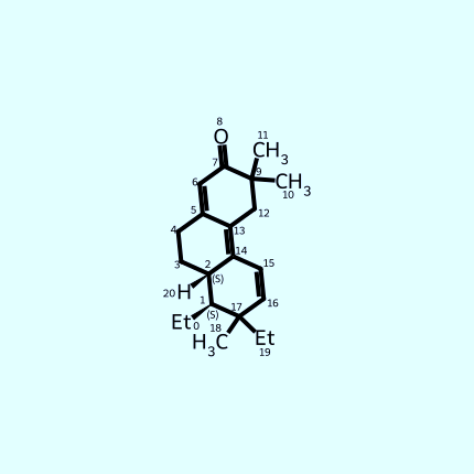 CC[C@H]1[C@@H]2CCC3=CC(=O)C(C)(C)CC3=C2C=CC1(C)CC